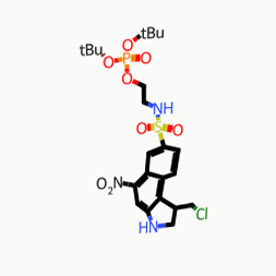 CC(C)(C)OP(=O)(OCCNS(=O)(=O)c1ccc2c3c(cc([N+](=O)[O-])c2c1)NCC3CCl)OC(C)(C)C